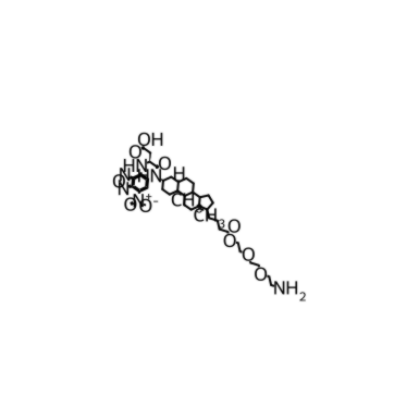 C[C@]12CCC3C(CC[C@@H]4C[C@H](NC(=O)[C@H](CC(=O)O)Nc5ccc([N+](=O)[O-])c6nonc56)CC[C@]34C)C1CCC2CCCC(=O)OCCOCCOCCN